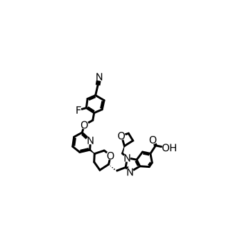 N#Cc1ccc(COc2cccc([C@@H]3CC[C@@H](Cc4nc5ccc(C(=O)O)cc5n4C[C@@H]4CCO4)OC3)n2)c(F)c1